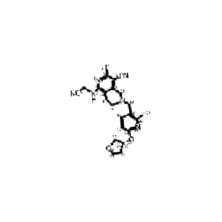 N#CCNc1nc(Cl)c(C#N)c2c1CCN(Cc1ccc(O[C@@H]3CCOC3)nc1F)C2